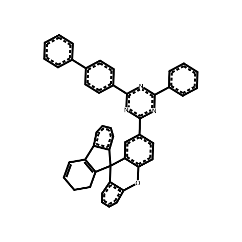 C1=CC2=C(CC1)C1(c3ccccc3Oc3ccc(-c4nc(-c5ccccc5)nc(-c5ccc(-c6ccccc6)cc5)n4)cc31)c1ccccc12